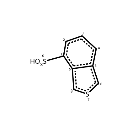 O=S(=O)(O)c1cccc2[c]s[c]c12